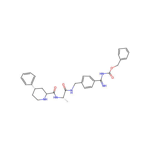 C[C@H](NC(=O)C1C[C@@H](c2ccccc2)CCN1)C(=O)NCc1ccc(C(=N)NC(=O)OCc2ccccc2)cc1